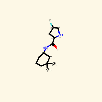 CC1(C)CCCC(NC(=O)C2CC(F)CN2)C1